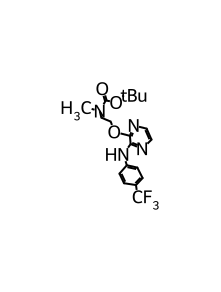 CN(CCOc1nccnc1Nc1ccc(C(F)(F)F)cc1)C(=O)OC(C)(C)C